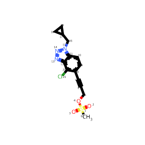 CS(=O)(=O)OCC#Cc1ccc2c(nnn2CC2CC2)c1Cl